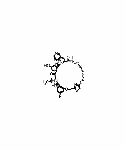 CC(C)C[C@H]1NC(=O)c2ccc(F)cc2OCc2nc(cs2)CCCCCCCCNC(=O)[C@H](Cc2cccnc2)N(C)C(=O)[C@H]2C[C@H](O)CN2C1=O